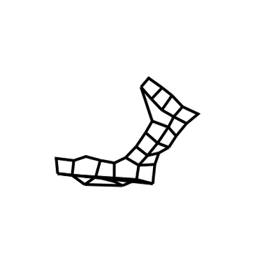 C1C2C3C1C1C4C5C6C7C8CC9CC%10C%11C%12C%13C%14C%15C%16CC%17C2C3C%17%16C1%15C4%14C5%13C6%12C%111C2C7C8C2C9%101